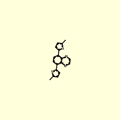 Cc1ccc(-c2ccc(-c3ccc(C)s3)c3nccnc23)s1